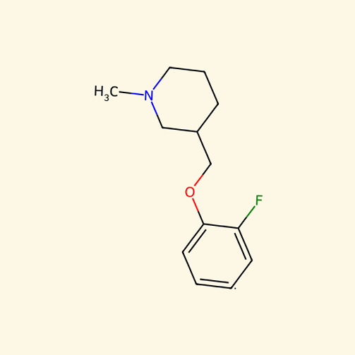 CN1CCCC(COc2cc[c]cc2F)C1